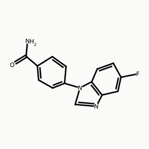 NC(=O)c1ccc(-n2cnc3cc(F)ccc32)cc1